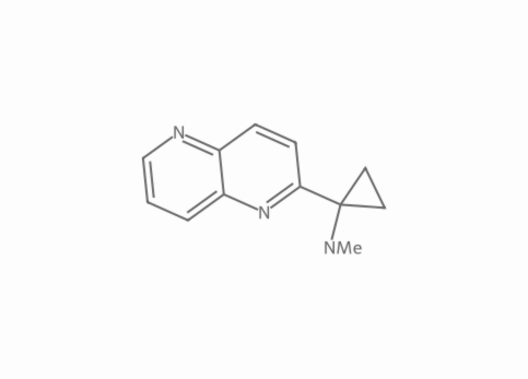 CNC1(c2ccc3ncccc3n2)CC1